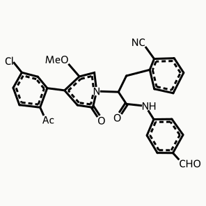 COc1cn(C(Cc2ccccc2C#N)C(=O)Nc2ccc(C=O)cc2)c(=O)cc1-c1cc(Cl)ccc1C(C)=O